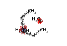 CCCCCCCC/C=C\CCCCCCCC(=O)C(C=O)[N+](C)(C)C(C=O)C(=O)CCCCCCC/C=C\CCCCCCCC.COS(=O)(=O)[O-]